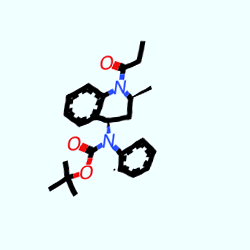 CCC(=O)N1c2ccccc2[C@H](N(C(=O)OC(C)(C)C)c2[c]cccc2)C[C@@H]1C